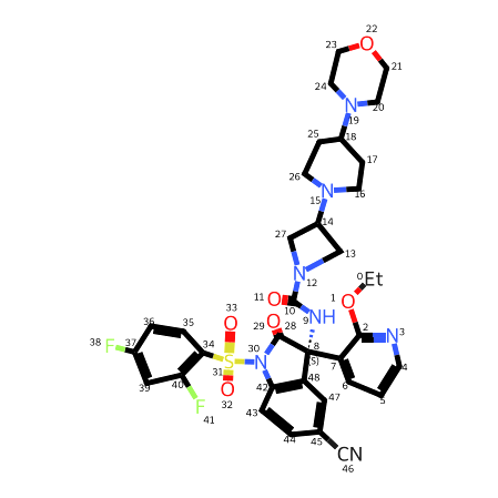 CCOc1ncccc1[C@]1(NC(=O)N2CC(N3CCC(N4CCOCC4)CC3)C2)C(=O)N(S(=O)(=O)c2ccc(F)cc2F)c2ccc(C#N)cc21